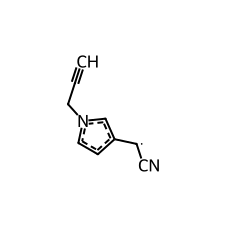 C#CCn1ccc([CH]C#N)c1